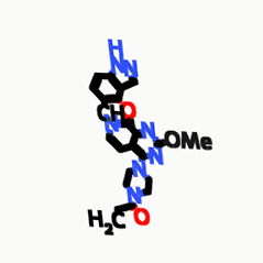 C=CC(=O)N1CCN(c2nc(OC)nc3c(Oc4c(C)ccc5[nH]ncc45)nccc23)CC1